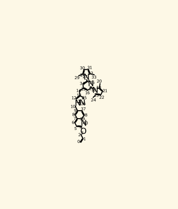 C=CCOc1ccc2cc(Cn3cc(Cc4cc(-n5c(C)ccc5C)nc(-n5c(C)ccc5C)c4)cn3)ccc2n1